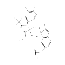 COC(=O)C1(N(C(=O)C(F)(F)F)c2ccc(F)c(Cl)c2)CCC2(CC1)C(Br)=Cc1ccc(OC(C)=O)cc12